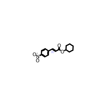 O=C(/C=C/c1ccc([N+](=O)[O-])cc1)OC1CCCCC1